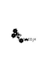 O=C(O)CCCOc1cccc(SCCn2c(-c3ccccc3)c(-c3ccccc3)sc2=O)c1